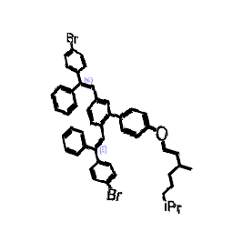 CC(C)CCCC(C)CCOc1ccc(-c2cc(/C=C(\c3ccccc3)c3ccc(Br)cc3)ccc2/C=C(\c2ccccc2)c2ccc(Br)cc2)cc1